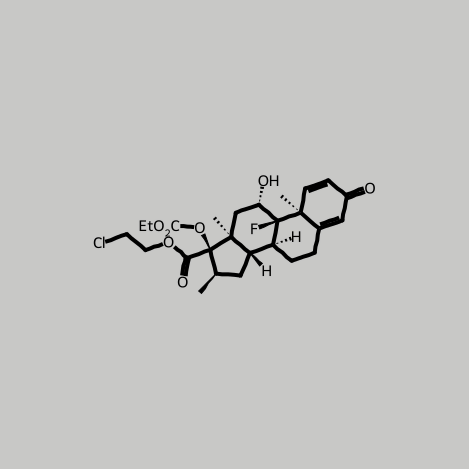 CCOC(=O)O[C@]1(C(=O)OCCCl)[C@H](C)C[C@H]2[C@@H]3CCC4=CC(=O)C=C[C@]4(C)[C@@]3(F)[C@@H](O)C[C@@]21C